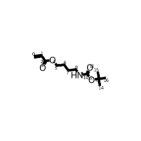 C=CC(=O)OCCCCNC(=O)OC(C)(C)C